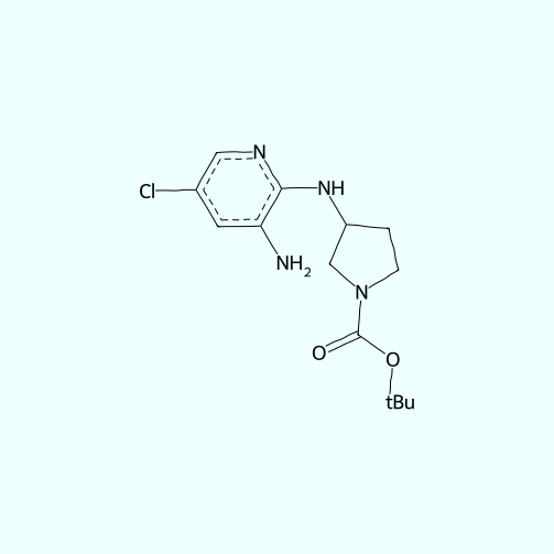 CC(C)(C)OC(=O)N1CCC(Nc2ncc(Cl)cc2N)C1